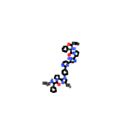 COC(=O)N[C@@H](C(=O)N1CCC[C@H]1c1ncc(-c2ccnc(-c3ccc(-n4cc(C(F)(F)F)nc4[C@@H]4CCCN4C(=O)[C@@H](c4ccccc4)N(C)C(=O)O)cc3)n2)[nH]1)c1ccccc1